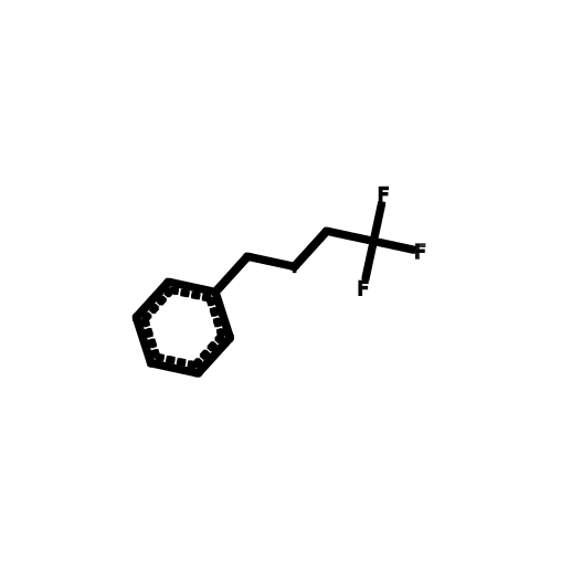 FC(F)(F)C[CH]Cc1ccccc1